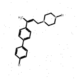 CCN1CCN(CC=C(C)c2ccc(-c3ccc(Cl)cc3)cc2)CC1